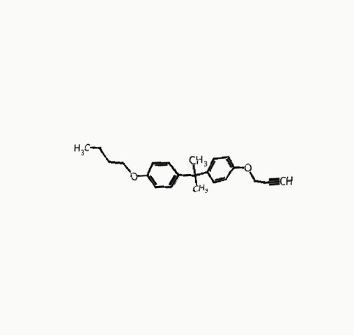 C#CCOc1ccc(C(C)(C)c2ccc(OCCCC)cc2)cc1